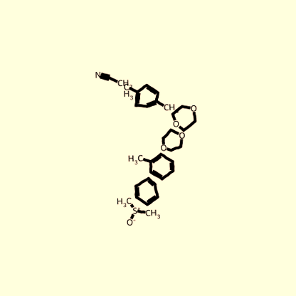 C1COCCO1.C1COCCO1.CC#N.C[S+](C)[O-].Cc1ccc(C)cc1.Cc1ccccc1.c1ccccc1